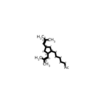 CC(=O)CCCCCC1CC(C=C(C)C)CC1C=C(C)C